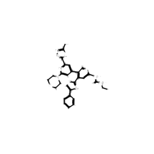 CCNC(=O)Nc1cc(-c2nc(-c3ccccc3)cs2)c(-c2cc(-c3nnc(C)o3)nc(N3CCOCC3)c2)cn1